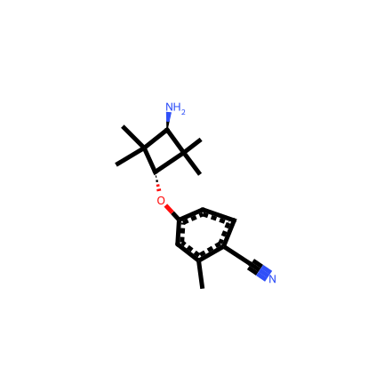 Cc1cc(O[C@H]2C(C)(C)[C@H](N)C2(C)C)ccc1C#N